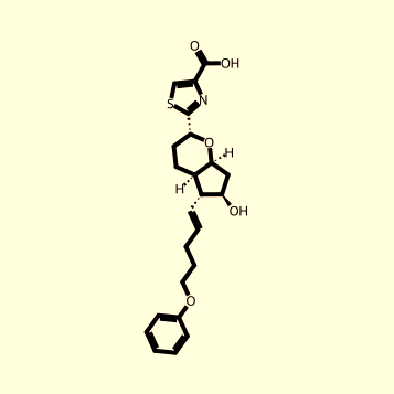 O=C(O)c1csc([C@H]2CC[C@@H]3[C@@H](/C=C/CCCOc4ccccc4)[C@H](O)C[C@@H]3O2)n1